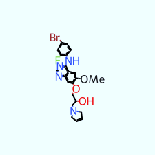 COc1cc2c(Nc3ccc(Br)cc3F)ncnc2cc1OCC(O)CN1CC=CC1